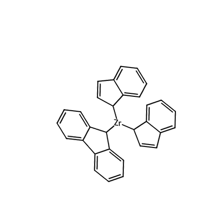 C1=C[CH]([Zr]([CH]2C=Cc3ccccc32)[CH]2c3ccccc3-c3ccccc32)c2ccccc21